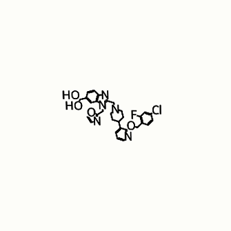 OC(O)c1ccc2nc(CN3CCC(c4cccnc4OCc4ccc(Cl)cc4F)CC3)n(Cc3ncco3)c2c1